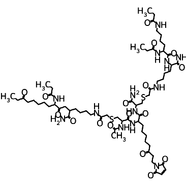 CCC(=O)CCCCCC(NC(=O)CC)C(=O)CC(CCCCNC(=O)CSCC(NC(C)=O)C(=O)NC(CCCCCC(=O)CCN1C(=O)C=CC1=O)C(=O)NC(CSCC(=O)NCCCCC(NC(=O)C(CCCCNC(=O)CC)NC(=O)CC)C(N)=O)C(N)=O)C(N)=O